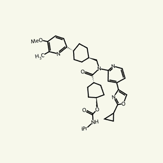 COc1ccc([C@H]2CC[C@H](CN(c3cc(-c4coc(C5CC5)n4)ccn3)C(=O)[C@H]3CC[C@H](OC(=O)NC(C)C)CC3)CC2)nc1C